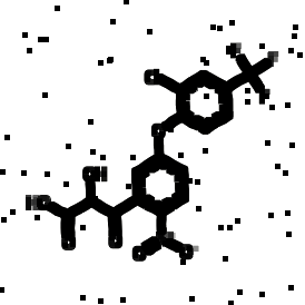 O=C(O)C(O)C(=O)c1cc(Oc2ccc(C(F)(F)F)cc2Cl)ccc1[N+](=O)[O-]